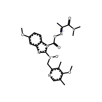 COc1ccc2c(c1)nc([S+]([O-])Cc1ncc(C)c(OC)c1C)n2C(=O)O/N=C(\C)C(=O)N(C)C